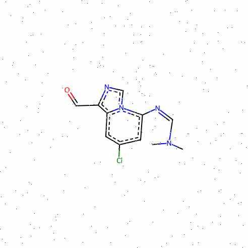 CN(C)/C=N\c1cc(Cl)cc2c(C=O)ncn12